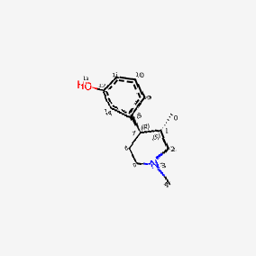 C[C@@H]1CN(C)CC[C@H]1c1cccc(O)c1